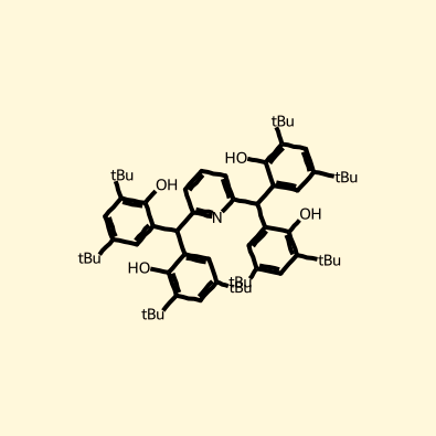 CC(C)(C)c1cc(C(c2cccc(C(c3cc(C(C)(C)C)cc(C(C)(C)C)c3O)c3cc(C(C)(C)C)cc(C(C)(C)C)c3O)n2)c2cc(C(C)(C)C)cc(C(C)(C)C)c2O)c(O)c(C(C)(C)C)c1